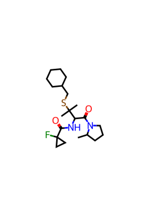 CC1CCCN1C(=O)C(NC(=O)C1(F)CC1)C(C)(C)SCC1CCCCC1